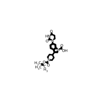 CC(C)(C)OC(=O)N1CCC(c2cn(C(=O)O)c3cc(N4CCC(=O)NC4=O)ccc23)CC1